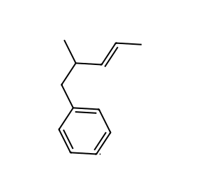 CC=CC(C)Cc1cc[c]cc1